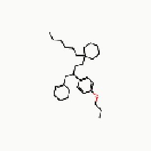 CCCCCCC1(CCC(CC2=CCCCC2)c2ccc(OCCC)cc2)CCCCC1